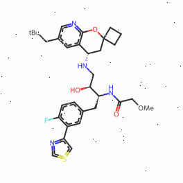 COCC(=O)N[C@@H](Cc1ccc(F)c(-c2cscn2)c1)[C@@H](O)CN[C@H]1CC2(CCC2)Oc2ncc(CC(C)(C)C)cc21